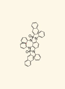 O=P1(c2ccc3ccccc3c2)N(c2ccccc2)c2ccc3c(c2N1c1ccccc1)N(c1ccccc1)P(=O)(c1ccc2ccccc2c1)N3c1ccccc1